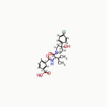 CC(C)[C@@H](NC(=O)c1cccc(C(=O)O)c1)C(=O)N1CCC(O)(c2ccc(Cl)cc2)CC1